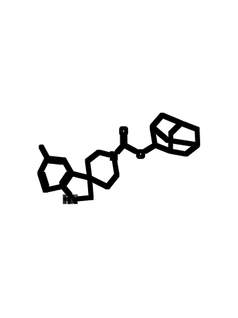 Cc1ccc2c(c1)C1(CCN(C(=O)OC3C4CC5CC(C4)CC3C5)CC1)CN2